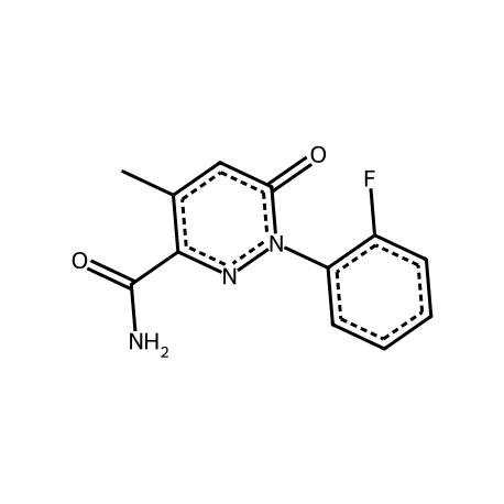 Cc1cc(=O)n(-c2ccccc2F)nc1C(N)=O